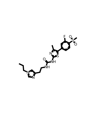 CCCn1cnc(CCNC(=O)Nc2nc(C)c(-c3ccc(S(C)(=O)=O)c(F)c3)s2)c1